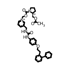 CC(=O)OC[C@@H]1CCCN1C(=O)OC[n+]1cccc(CNC(=O)Nc2ccc(OCCc3ccccc3-c3ccccc3)cc2)c1